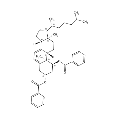 CC(C)CCC[C@@H](C)[C@H]1CC[C@H]2C3=CC=C4C[C@@H](OC(=O)c5ccccc5)C[C@H](OC(=O)c5ccccc5)[C@]4(C)[C@H]3CC[C@]12C